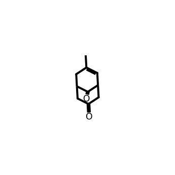 CC1=CC2CC(=O)CC(C1)C2=O